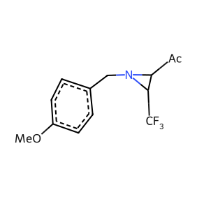 COc1ccc(CN2C(C(C)=O)C2C(F)(F)F)cc1